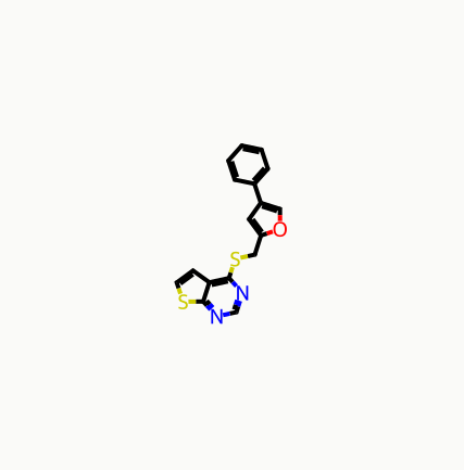 c1ccc(-c2coc(CSc3ncnc4sccc34)c2)cc1